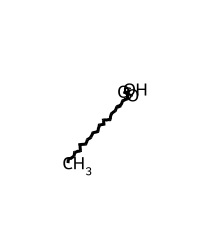 CCCCCCCCCCCCCCCCCC=CCCS(=O)(=O)O